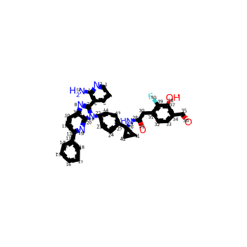 Nc1ncccc1-c1nc2ccc(-c3ccccc3)nc2n1-c1ccc(C2(NC(=O)Cc3ccc(C=O)c(O)c3F)CC2)cc1